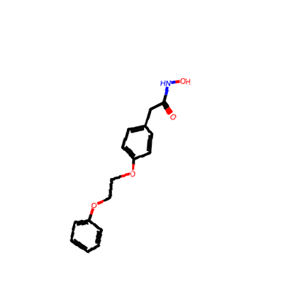 O=C(Cc1ccc(OCCOc2ccccc2)cc1)NO